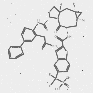 NC(=O)Cc1cc(-c2ccccc2)ccc1NC(=O)[C@@H]1CC[C@@H]2C[C@H]3C[C@H]3C[C@H](NC(=O)c3cc4cc(C(F)(F)P(=O)(O)O)ccc4s3)C(=O)N21